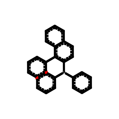 c1ccc(-c2c(P(c3ccccc3)c3ccccc3)ccc3ccccc23)cc1